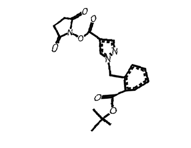 CC(C)(C)OC(=O)c1ccccc1Cn1cc(C(=O)ON2C(=O)CCC2=O)cn1